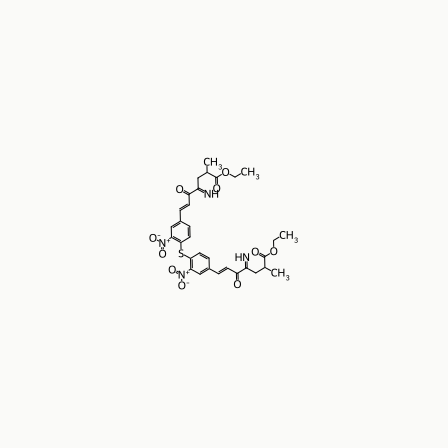 CCOC(=O)C(C)CC(=N)C(=O)/C=C/c1ccc(Sc2ccc(/C=C/C(=O)C(=N)CC(C)C(=O)OCC)cc2[N+](=O)[O-])c([N+](=O)[O-])c1